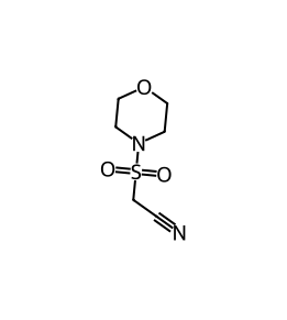 N#CCS(=O)(=O)N1CCOCC1